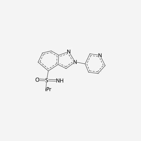 CC(C)S(=N)(=O)c1cccc2nn(-c3cccnc3)cc12